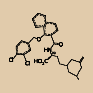 C=C1CC(C)CC(CC[C@H](NC(=O)c2ccc3ccccc3c2OCc2ccc(Cl)c(Cl)c2)C(=O)O)C1